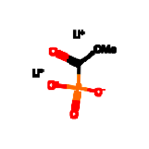 COC(=O)P(=O)([O-])[O-].[Li+].[Li+]